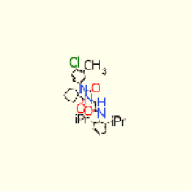 Cc1cc(N2C(=O)N(CC(=O)Nc3c(C(C)C)cccc3C(C)C)C(=O)C23CCCCC3)ccc1Cl